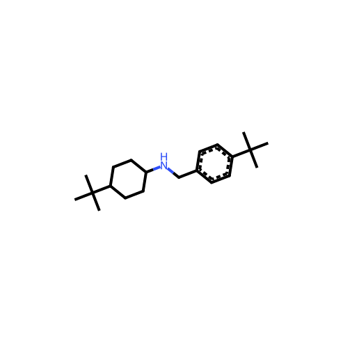 CC(C)(C)c1ccc(CNC2CCC(C(C)(C)C)CC2)cc1